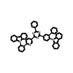 c1ccc(-c2nc(-c3ccc(-c4ccccc4-n4c5ccccc5c5ccccc54)nc3)nc(-c3ccc(-n4c5ccccc5c5ccccc54)c(-c4ccccc4)c3)n2)cc1